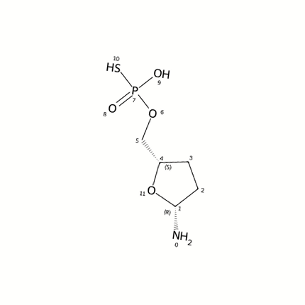 N[C@H]1CC[C@@H](COP(=O)(O)S)O1